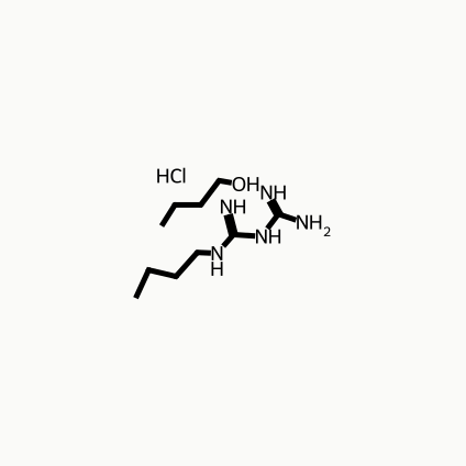 CCCCNC(=N)NC(=N)N.CCCCO.Cl